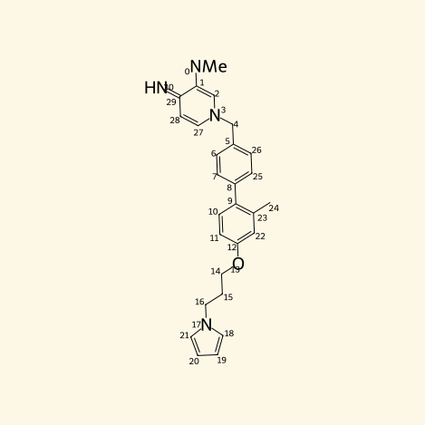 CNc1cn(Cc2ccc(-c3ccc(OCCCn4cccc4)cc3C)cc2)ccc1=N